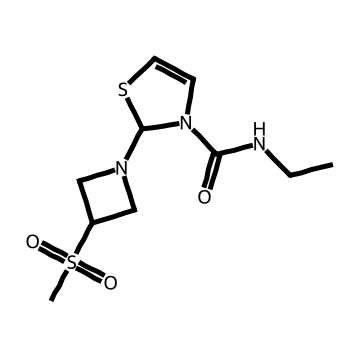 CCNC(=O)N1C=CSC1N1CC(S(C)(=O)=O)C1